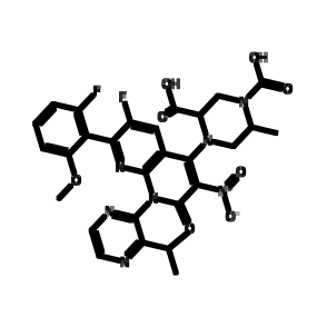 COc1cccc(F)c1-c1nc2c(cc1F)c(N1CC(C)N(C(=O)O)CC1C(=O)O)c([N+](=O)[O-])c(=O)n2-c1nccnc1C(C)C